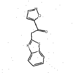 O=C(Cc1nc2ccccc2s1)c1ccno1